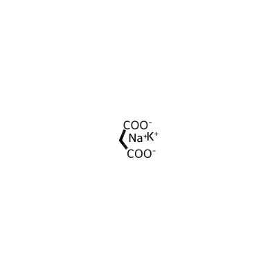 O=C([O-])CC(=O)[O-].[K+].[Na+]